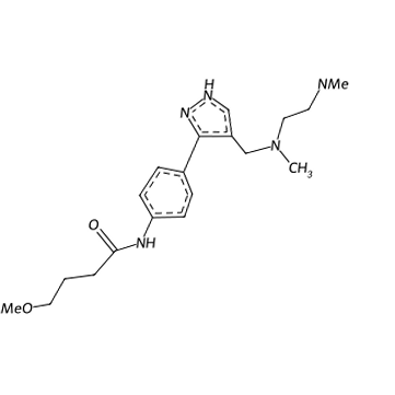 CNCCN(C)Cc1c[nH]nc1-c1ccc(NC(=O)CCCOC)cc1